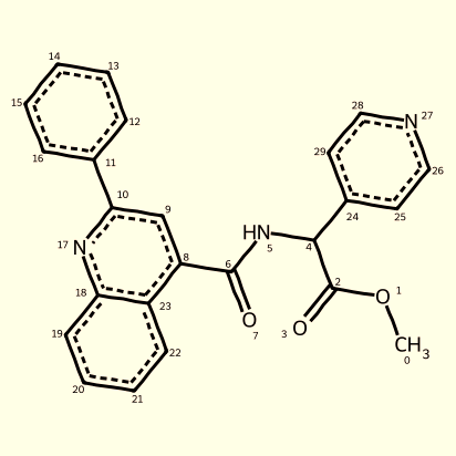 COC(=O)C(NC(=O)c1cc(-c2ccccc2)nc2ccccc12)c1ccncc1